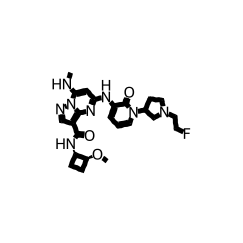 CNc1cc(Nc2cccn(C3CCN(CCF)C3)c2=O)nc2c(C(=O)N[C@H]3CC[C@@H]3OC)cnn12